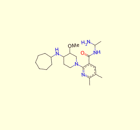 COC1CN(c2nc(C)c(C)cc2C(=O)NC(C)N)CCC1NC1CCCCCC1